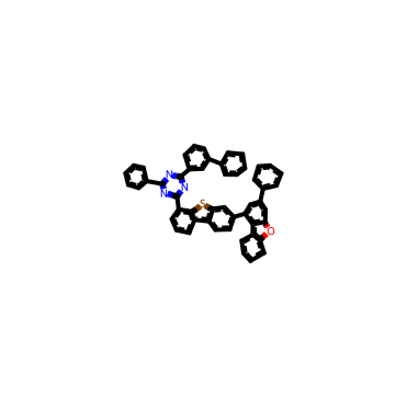 c1ccc(-c2cccc(-c3nc(-c4ccccc4)nc(-c4cccc5c4sc4cc(-c6cc(-c7ccccc7)cc7oc8ccccc8c67)ccc45)n3)c2)cc1